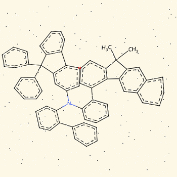 CC1(C)c2cc3ccccc3cc2-c2c(-c3ccccc3N(c3ccc4c(c3)C(c3ccccc3)(c3ccccc3)c3ccccc3-4)c3ccccc3-c3ccccc3)cccc21